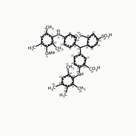 COc1c(C)cc(C)c(Nc2ccc(C(c3ccc(Nc4c(C)cc(C)c(C)c4C)c(C(=O)O)c3)c3ccc(S(=O)(=O)O)cc3S(=O)(=O)O)cc2)c1C